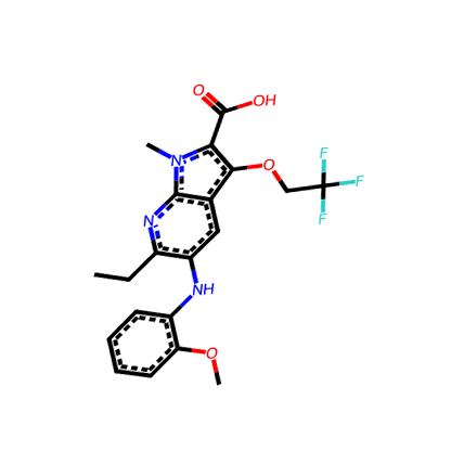 CCc1nc2c(cc1Nc1ccccc1OC)c(OCC(F)(F)F)c(C(=O)O)n2C